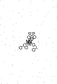 CC(Cc1ccc(-c2nc(-c3cccc4c3Oc3ccccc3C43c4ccccc4-c4ccccc43)nc(-c3ccc(-c4ccccc4)c4ccccc34)n2)cc1)c1ccccc1